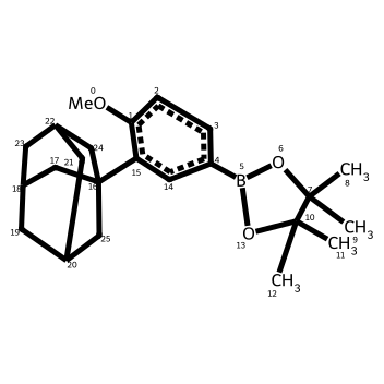 COc1ccc(B2OC(C)(C)C(C)(C)O2)cc1C12CC3CC(CC(C3)C1)C2